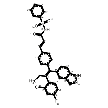 CCC(=C(c1ccc(C=CC(=O)NS(=O)(=O)c2ccccc2)cc1)c1ccc2[nH]ncc2c1)c1ccc(F)cc1Cl